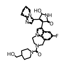 O=C1NC(O)C(c2cnc3ccccn23)=C1c1cn2c3c(cc(F)cc13)CN(C(=O)N1CCC(CO)CC1)CC2